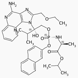 CCOCc1nc2c(N)nc3ccccc3c2n1[C@@](O)(CO[P@@](=O)(N[C@@H](C)C(=O)OC(C)C)Oc1ccc2ccccc2c1)C(C)C